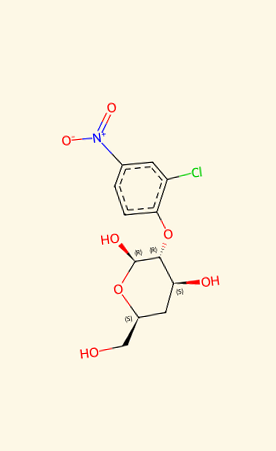 O=[N+]([O-])c1ccc(O[C@H]2[C@H](O)O[C@H](CO)C[C@@H]2O)c(Cl)c1